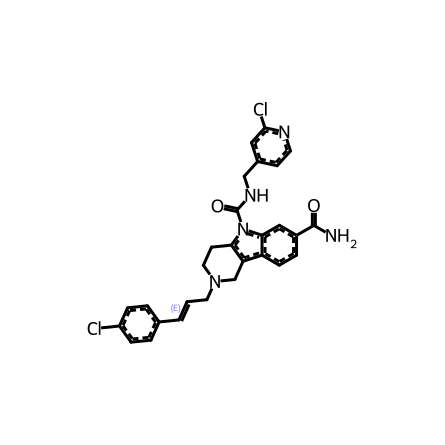 NC(=O)c1ccc2c3c(n(C(=O)NCc4ccnc(Cl)c4)c2c1)CCN(C/C=C/c1ccc(Cl)cc1)C3